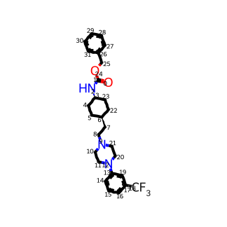 O=C(N[C@H]1CC[C@H](CCN2CCN(c3cccc(C(F)(F)F)c3)CC2)CC1)OCc1ccccc1